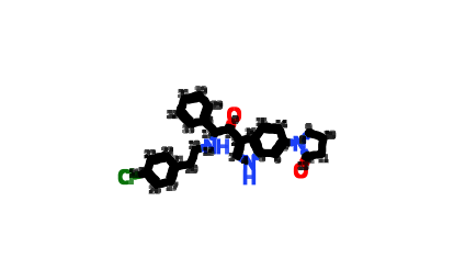 O=C(c1c[nH]c2cc(N3CCCC3=O)ccc12)C(NCCc1ccc(Cl)cc1)c1ccccc1